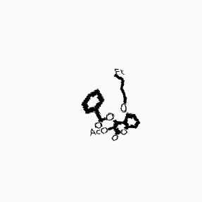 CC/C=C/CCOc1cccc2oc(=O)c(OC(C)=O)c(OC(=O)c3ccccc3)c12